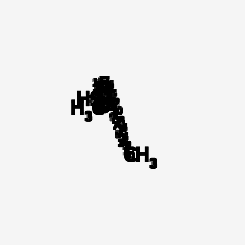 CCCCCCCCCCCCCc1cc2ccccc2c(S)c1OC